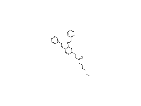 CCCCCCC(=O)C=Cc1ccc(OCc2ccccc2)c(OCc2ccccc2)c1